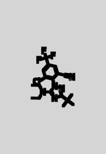 CCN(CC)c1nc(C(C)(C)C)nn1-c1c(Cl)cc(C(F)(F)F)cc1C#N